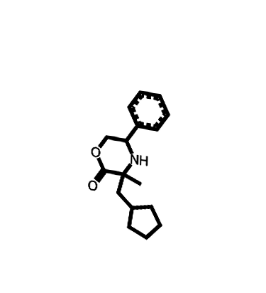 CC1(CC2CCCC2)NC(c2ccccc2)COC1=O